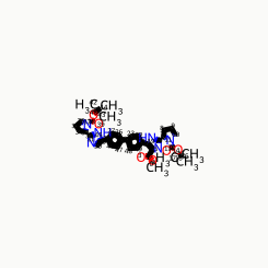 COC(=O)c1nc([C@@H]2CCCN2C(=O)OC(C)(C)C)[nH]c1-c1ccc(-c2ccc(-c3cnc([C@@H]4CCCN4C(=O)OC(C)(C)C)[nH]3)cc2)cc1